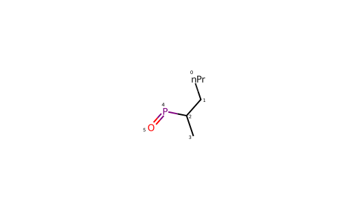 CCCCC(C)P=O